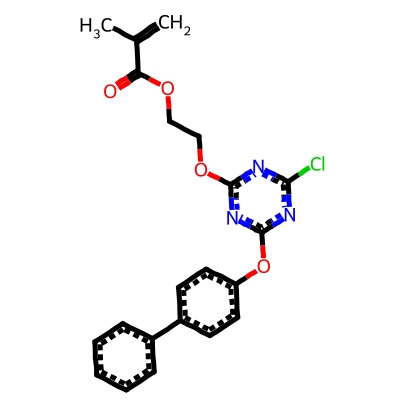 C=C(C)C(=O)OCCOc1nc(Cl)nc(Oc2ccc(-c3ccccc3)cc2)n1